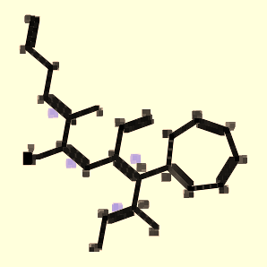 C=CC/C=C(C)/C(Br)=C\C(C=C)=C(C1=CC=CC=CC1)/C(C)=C/C